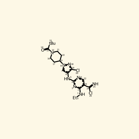 CCNc1nc(Nc2cn(C3CCN(C(=O)C(C)(C)C)CC3)nc2Cl)ncc1C(=N)Cl